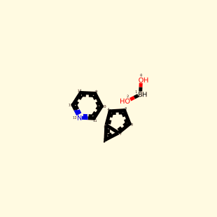 OBO.c1cc2cc-2c1.c1ccncc1